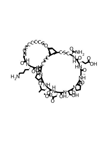 COOC(=O)C[C@@H]1NC(=O)[C@H](CC(C)C)NC(=O)[C@@H]2CCCN2C(=O)[C@@H]2CSCc3cc(cc(c3)OCCCCCCO/N=C/C(=O)N[C@@H](CCCCN)C(=O)N2)CSC[C@@H](C(N)=O)NC(=O)[C@H](CCC(=O)O)NC(=O)[C@H](C)NC(=O)[C@@H]2CCCN2C(=O)[C@H]([C@@H](C)O)NC1=O